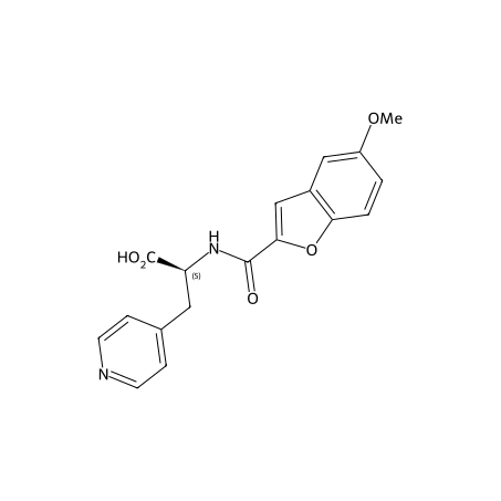 COc1ccc2oc(C(=O)N[C@@H](Cc3ccncc3)C(=O)O)cc2c1